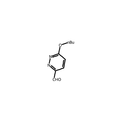 CCCCOc1ccc(C=O)nn1